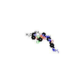 Cc1cc(C)c2cccc(OCc3c(Cl)ccc(S(=O)(=O)N4CCC[C@H]4C(=O)NC4CCN(C(=O)Cc5ccc(C=NN)cc5)CC4)c3Cl)c2n1